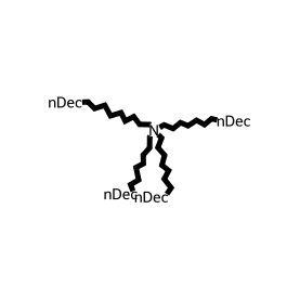 CCCCCCCCCCCCCCCCCCC[N+](CCCCCCCCCCCCCCCCC)(CCCCCCCCCCCCCCCCC)CCCCCCCCCCCCCCCCC